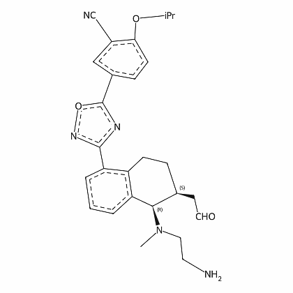 CC(C)Oc1ccc(-c2nc(-c3cccc4c3CC[C@@H](CC=O)[C@H]4N(C)CCN)no2)cc1C#N